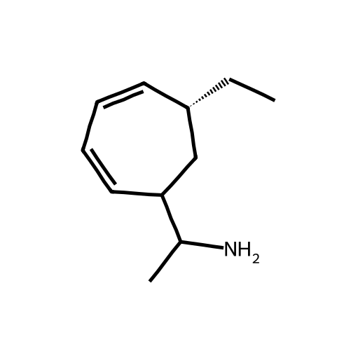 CC[C@H]1C=CC=CC(C(C)N)C1